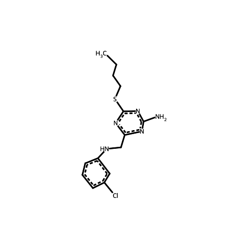 CCCCSc1nc(N)nc(CNc2cccc(Cl)c2)n1